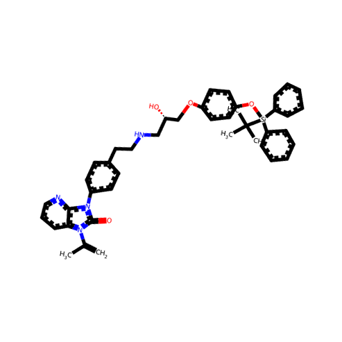 C=C(C)n1c(=O)n(-c2ccc(CCNC[C@H](O)COc3ccc(O[Si](c4ccccc4)(c4ccccc4)C(C)(C)C)cc3)cc2)c2ncccc21